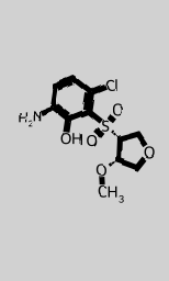 CO[C@H]1COC[C@H]1S(=O)(=O)c1c(Cl)ccc(N)c1O